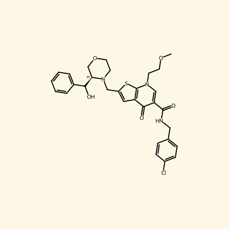 COCCn1cc(C(=O)NCc2ccc(Cl)cc2)c(=O)c2cc(CN3CCOC[C@@H]3C(O)c3ccccc3)sc21